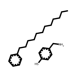 CCCCCCCCCCCCc1ccccc1.NCc1ccc(S)cc1